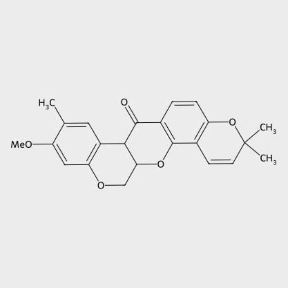 COc1cc2c(cc1C)C1C(=O)c3ccc4c(c3OC1CO2)C=CC(C)(C)O4